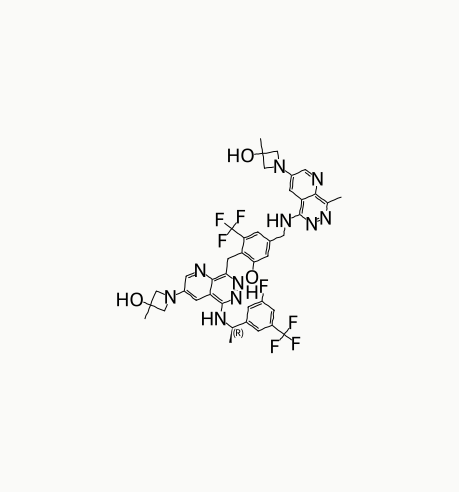 Cc1nnc(NCc2cc(O)c(Cc3nnc(N[C@H](C)c4cc(F)cc(C(F)(F)F)c4)c4cc(N5CC(C)(O)C5)cnc34)c(C(F)(F)F)c2)c2cc(N3CC(C)(O)C3)cnc12